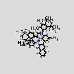 Cc1cc2c3c(c1)N(c1cc4c(cc1C)C(C)(C)CCC4(C)C)c1sc4cc5c(cc4c1B3N(c1ccc(C(C)(C)C)cc1)c1cc3ccccc3cc1-2)C(C)(C)CCC5(C)C